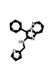 c1ccc(-c2c(NCc3ccco3)nc3cccnn23)cc1